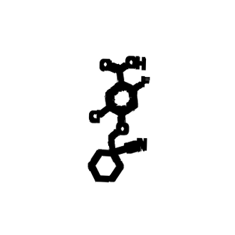 N#CC1(COc2cc(F)c(C(=O)O)cc2Cl)CCCCC1